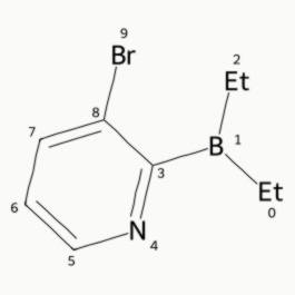 CCB(CC)c1ncccc1Br